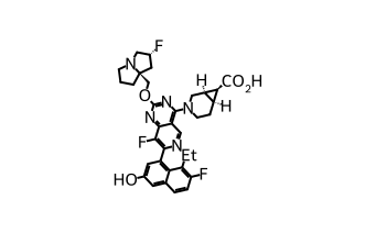 CCc1c(F)ccc2cc(O)cc(-c3ncc4c(N5CC[C@H]6[C@@H](C5)[C@H]6C(=O)O)nc(OC[C@@]56CCCN5C[C@H](F)C6)nc4c3F)c12